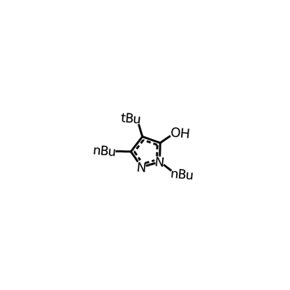 CCCCc1nn(CCCC)c(O)c1C(C)(C)C